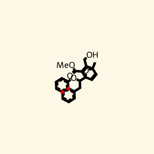 COC(=O)C1=C(CO)C2(C)C=CC1(C(Cc1ccccc1)Oc1ccccc1)O2